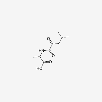 CC(C)CC(=O)C(=O)NC(C)C(=O)O